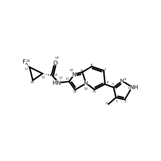 Cc1c[nH]nc1-c1ccc2nc(NC(=O)[C@@H]3C[C@@H]3F)cn2c1